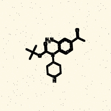 CC(=O)c1ccc(N(C(=O)OC(C)(C)C)C2CCNCC2)c(N)c1